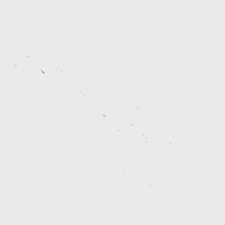 Cc1cc2cnc(NC3CCN(S(=O)(=O)NC[C@H]4CCCO4)CC3)nc2n(C2CCCC2(C)O)c1=O